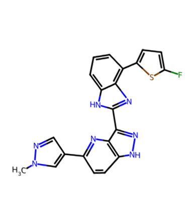 Cn1cc(-c2ccc3[nH]nc(-c4nc5c(-c6ccc(F)s6)cccc5[nH]4)c3n2)cn1